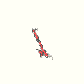 O=S(=O)(N1CCC(Nc2ccnc3c(OCCOCCOCCOCCOCCOCCOCCOCCOCCOCCO)cc(C(c4ccc(Cl)cc4)c4ccc(Cl)cc4)cc23)CC1)C(F)(F)F